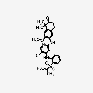 COc1cc2c(cc1Nc1ncc(Cl)c(Nc3ccccc3S(=O)(=O)C(C)C)n1)CCC(=O)C2(C)C